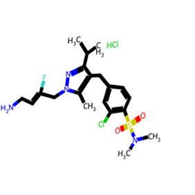 Cc1c(Cc2ccc(S(=O)(=O)N(C)C)c(Cl)c2)c(C(C)C)nn1C/C(F)=C/CN.Cl